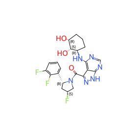 O=C(c1n[nH]c2ncnc(N[C@@H]3CCC[C@@H](O)[C@H]3O)c12)N1C[C@@H](F)C[C@@H]1c1cccc(F)c1F